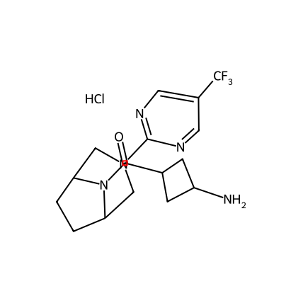 Cl.NC1CC(C(=O)N2C3CCC2CN(c2ncc(C(F)(F)F)cn2)C3)C1